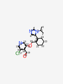 CC(C)n1cncc1C1=C(COc2cncc(Cl)c2C=O)CCCC1